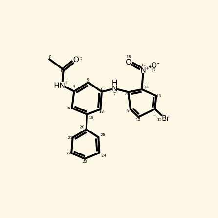 CC(=O)Nc1cc(Nc2ccc(Br)cc2[N+](=O)[O-])cc(-c2ccccc2)c1